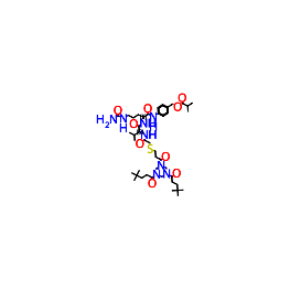 CC(C)C(=O)OCc1ccc(NC(=O)[C@H](CCCNC(N)=O)NC(=O)[C@@H](NC(=O)CSCCC(=O)N2CN(C(=O)CCC(C)(C)C)CN(C(=O)CCC(C)(C)C)C2)C(C)C)cc1